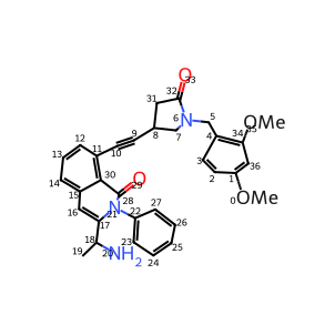 COc1ccc(CN2CC(C#Cc3cccc4cc(C(C)N)n(-c5ccccc5)c(=O)c34)CC2=O)c(OC)c1